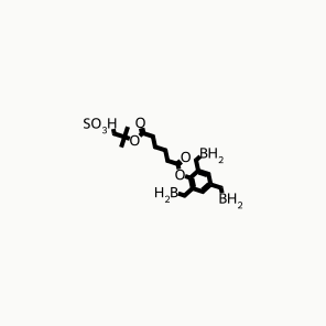 BCc1cc(CB)c(OC(=O)CCCCC(=O)OC(C)(C)CS(=O)(=O)O)c(CB)c1